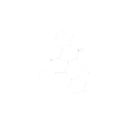 CCOC(=O)c1c(N(C)c2ccncc2)c(C#N)c(=O)n2ccccc12